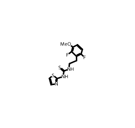 COc1ccc(F)c(CCNC(=S)Nc2nccs2)c1F